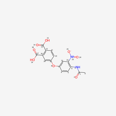 CC(=O)Nc1ccc(Oc2ccc(C(=O)O)c(C(=O)O)c2)cc1[N+](=O)[O-]